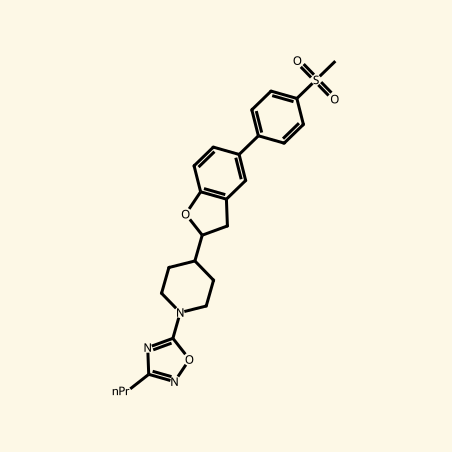 CCCc1noc(N2CCC(C3Cc4cc(-c5ccc(S(C)(=O)=O)cc5)ccc4O3)CC2)n1